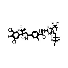 Cc1cc(C2=NOC(c3cc(Cl)c(F)c(Cl)c3)(C(F)(F)F)C2)ccc1C(=O)Nc1nc(C(F)(F)F)n(CC(F)(F)C(F)(F)F)n1